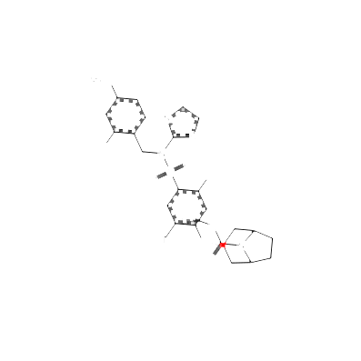 COc1ccc(CN(c2nccs2)S(=O)(=O)c2cc(Cl)c(O[C@@H]3C[C@H]4CC[C@@H](C3)N4C(=O)OC(C)(C)C)cc2F)c(C)c1